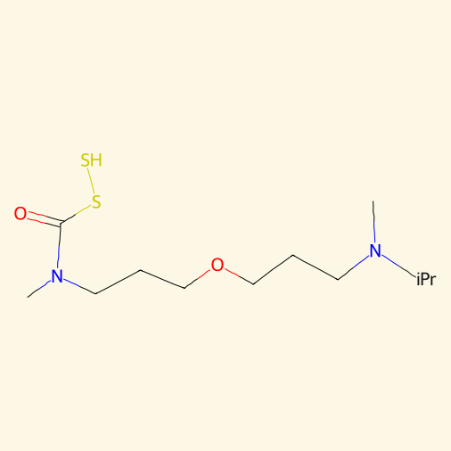 CC(C)N(C)CCCOCCCN(C)C(=O)SS